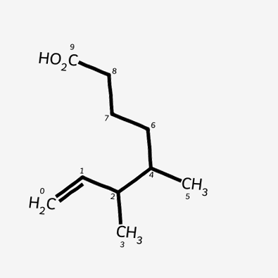 C=CC(C)C(C)CCCC(=O)O